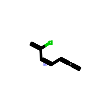 C=C=C/C=C\C(=C)Cl